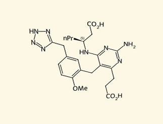 CCC[C@@H](CC(=O)O)Nc1nc(N)nc(CCC(=O)O)c1Cc1cc(Cc2nn[nH]n2)ccc1OC